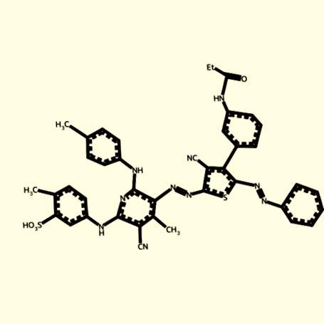 CCC(=O)Nc1cccc(-c2c(N=Nc3ccccc3)sc(N=Nc3c(Nc4ccc(C)cc4)nc(Nc4ccc(C)c(S(=O)(=O)O)c4)c(C#N)c3C)c2C#N)c1